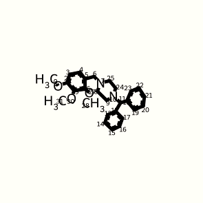 COc1ccc(CN2CCN(C(c3ccccc3)c3ccccc3)CC2)c(OC)c1OC